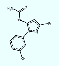 CC(C)c1cc(NC(N)=O)n(-c2cccc(C#N)c2)n1